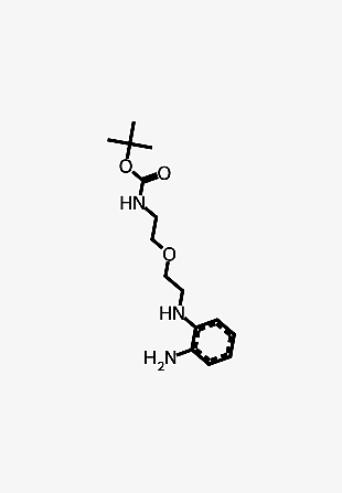 CC(C)(C)OC(=O)NCCOCCNc1ccccc1N